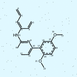 C=C/C=C(\C=C)N/C(C)=N/C(=C\C)c1cc(OC)ccc1OC